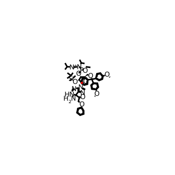 CCOP(O[C@H]1[C@@H](O[Si](C)(C)C(C)(C)C)[C@H](n2cnc3c2N=CNC3(N)C(=O)COc2ccccc2)O[C@@H]1COC(c1ccccc1)(c1ccc(OC)cc1)c1ccc(OC)cc1)N(C#[N+]C(C)C)C(C)C